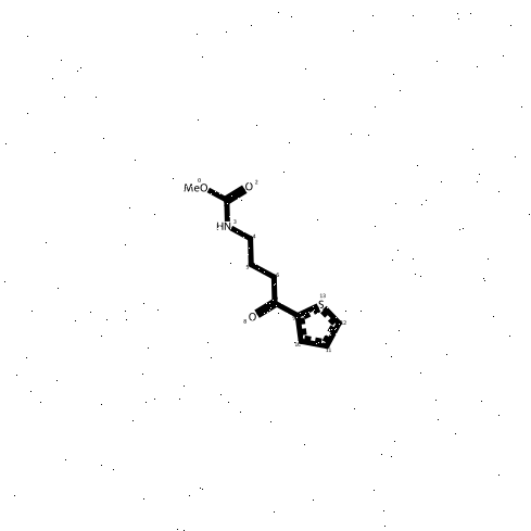 COC(=O)NCCCC(=O)c1cccs1